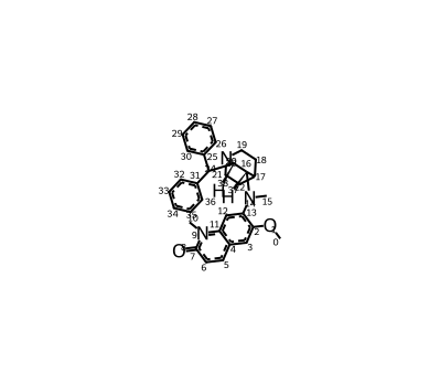 COc1cc2ccc(=O)n(C)c2cc1N(C)[C@H]1C2CCN(CC2)[C@H]1C(c1ccccc1)c1ccccc1